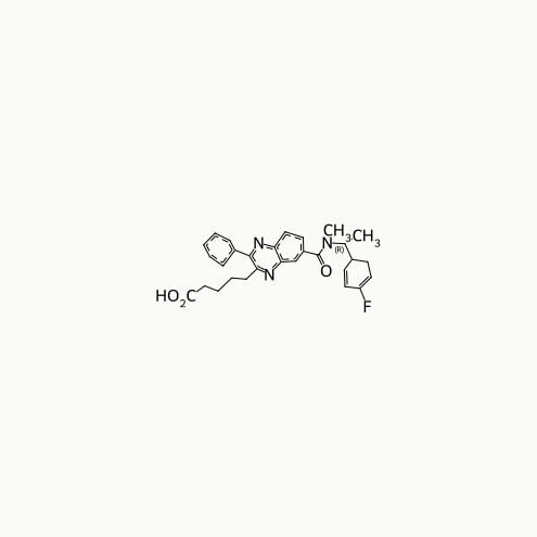 C[C@H](C1C=CC(F)=CC1)N(C)C(=O)c1ccc2nc(-c3ccccc3)c(CCCCC(=O)O)nc2c1